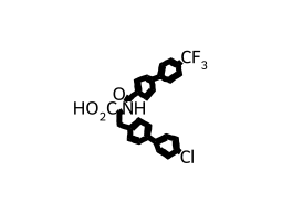 O=C(N[C@@H](Cc1ccc(-c2ccc(Cl)cc2)cc1)C(=O)O)c1ccc(-c2ccc(C(F)(F)F)cc2)cc1